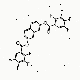 O=C(Oc1ccc2ccc(OC(=O)c3cc(F)c(F)c(F)c3F)cc2c1)c1cc(F)c(F)c(F)c1F